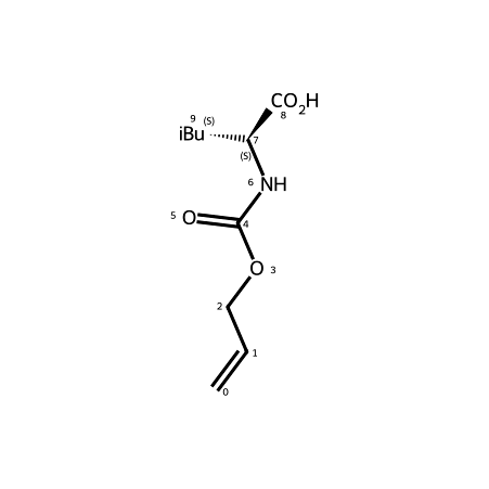 C=CCOC(=O)N[C@H](C(=O)O)[C@@H](C)CC